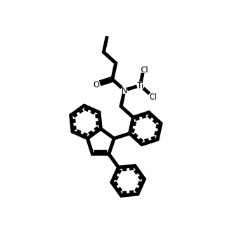 CCCC(=O)[N](Cc1ccccc1C1C(c2ccccc2)=Cc2ccccc21)[Ti]([Cl])[Cl]